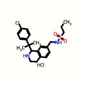 CCCS(=O)(=O)NCc1ccc2c(c1)C(C(C)(C)c1ccc(Cl)cc1)NCC2.Cl